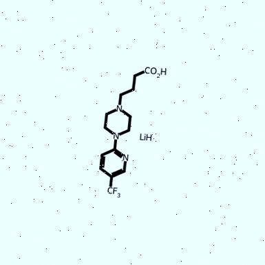 O=C(O)CCCN1CCN(c2ccc(C(F)(F)F)cn2)CC1.[LiH]